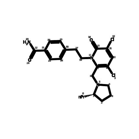 CCC[C@H]1CCCN1Cc1c(Cl)cc(Cl)c(=O)n1CCc1ccc(C(N)=O)cc1